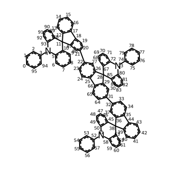 c1ccc(N2c3ccccc3C3(c4ccccc4-c4ccc(-c5ccc6c(c5)C5(c7cc(-c8ccc9c(c8)C8(c%10ccccc%10-9)c9ccccc9N(c9ccccc9)c9ccccc98)ccc7-6)c6ccccc6N(c6ccccc6)c6ccccc65)cc43)c3ccccc32)cc1